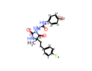 CC1(CCc2ccc(F)cc2)NC(=O)N(NC(=O)Nc2ccc(Br)cc2)C1=O